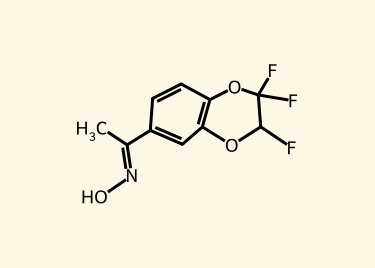 CC(=NO)c1ccc2c(c1)OC(F)C(F)(F)O2